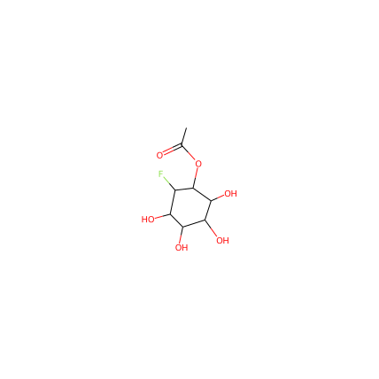 CC(=O)OC1C(O)C(O)C(O)C(O)C1F